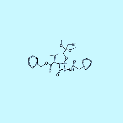 COC(CBr)(CO[C@H]1[C@@H](NC(=O)Cc2ccccc2)C(=O)N1C(C(=O)OCc1ccccc1)=C(C)C)OC